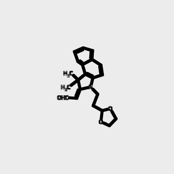 CC1(C)/C(=C\C=O)N(CCC2OCCO2)c2ccc3ccccc3c21